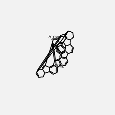 CCCCCCCCCCCCc1ccc(C2N(C)CC34c5c6c7c8c9c%10ccc%11c%12ccc%13c%14c%15c%16c(c5c8c%16c(c%14%12)c%119)=C5C8C(C=CC%13C%158)C(CCC3C6=CCC7%10)C524)cc1